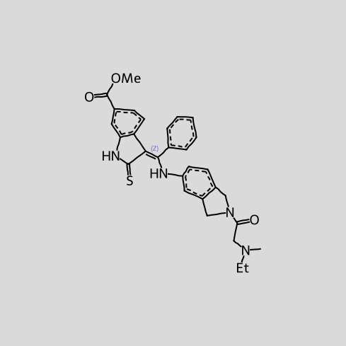 CCN(C)CC(=O)N1Cc2ccc(N/C(=C3\C(=S)Nc4cc(C(=O)OC)ccc43)c3ccccc3)cc2C1